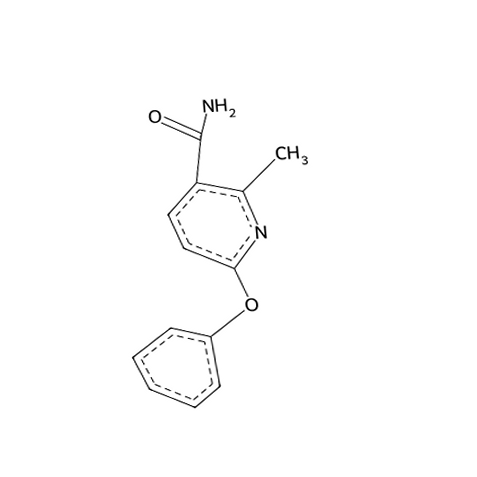 Cc1nc(Oc2ccccc2)ccc1C(N)=O